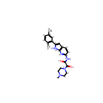 CN1CCN(C(=O)C(=O)Nc2ccc3cc(-c4cc(C#N)ccc4C(F)(F)F)[nH]c3n2)CC1